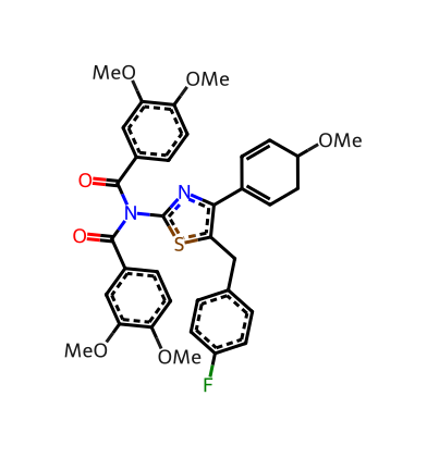 COc1ccc(C(=O)N(C(=O)c2ccc(OC)c(OC)c2)c2nc(C3=CCC(OC)C=C3)c(Cc3ccc(F)cc3)s2)cc1OC